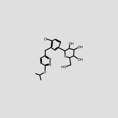 CC(C)Oc1ccc(Cc2cc(C3OC(CO)C(O)C(O)C3O)ccc2Cl)nn1